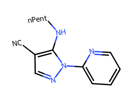 CCCCCNc1c(C#N)cnn1-c1ccccn1